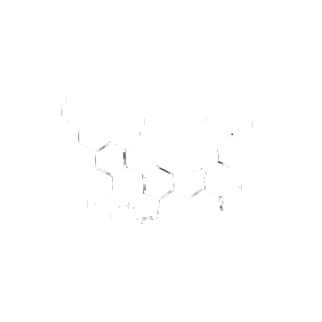 CCOCc1cc(OC)c(-c2ccc(/C=C(\NC(=O)OC(C)(C)C)C(=O)O)c3cnn(C)c23)c(OC)c1